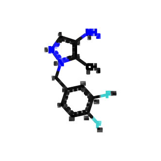 Cc1c(N)cnn1Cc1ccc(F)c(F)c1